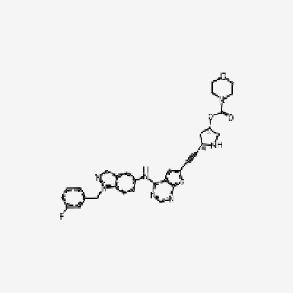 O=C(O[C@H]1CN[C@@H](C#Cc2cc3c(Nc4ccc5c(cnn5Cc5cccc(F)c5)c4)ncnc3s2)C1)N1CCOCC1